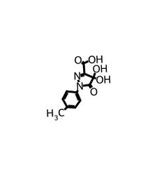 Cc1ccc(N2N=C(C(=O)O)C(O)(O)C2=O)cc1